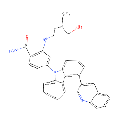 CC(CO)CCNc1cc(-n2c3ccccc3c3c(-c4cnc5ccccc5c4)cccc32)ccc1C(N)=O